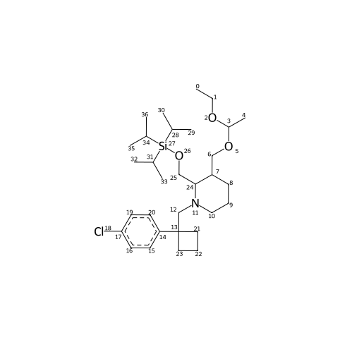 CCOC(C)OCC1CCCN(CC2(c3ccc(Cl)cc3)CCC2)C1CO[Si](C(C)C)(C(C)C)C(C)C